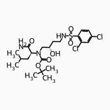 CC(C)C[C@@H](C(N)=O)N(C[C@@H](O)CCNS(=O)(=O)c1ccc(Cl)cc1Cl)C(=O)OC(C)(C)C